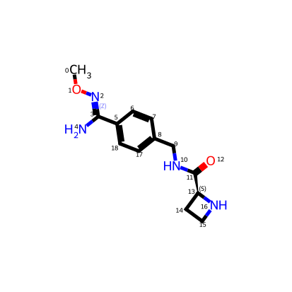 CO/N=C(\N)c1ccc(CNC(=O)[C@@H]2CCN2)cc1